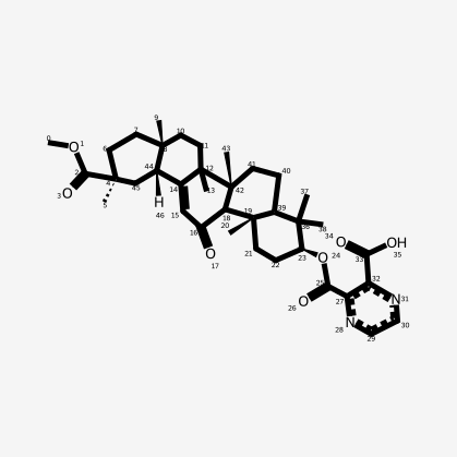 COC(=O)[C@@]1(C)CC[C@]2(C)CCC3(C)C(=CC(=O)C4[C@@]5(C)CC[C@H](OC(=O)c6nccnc6C(=O)O)C(C)(C)C5CC[C@]43C)[C@@H]2C1